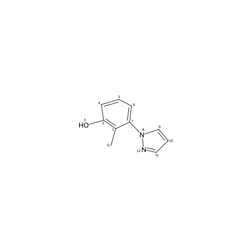 Cc1c(O)cccc1-n1cccn1